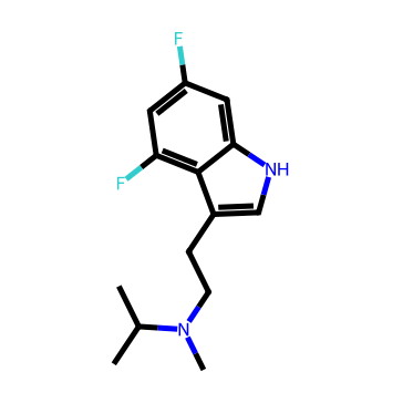 CC(C)N(C)CCc1c[nH]c2cc(F)cc(F)c12